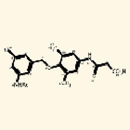 CC(=O)Nc1cc(Cl)cc(COc2c(C)cc(NC(=O)CC(=O)O)cc2C)c1